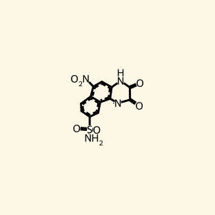 NS(=O)(=O)c1ccc2c([N+](=O)[O-])cc3c(c2c1)[N]C(=O)C(=O)N3